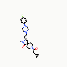 CN1C(=O)C2(CCN(C(=O)CC3CC3)CC2)C[C@@H]1CCN1CCN(c2ccc(F)cc2)CC1